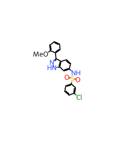 COc1ccccc1-c1n[nH]c2cc(NS(=O)(=O)c3cccc(Cl)c3)ccc12